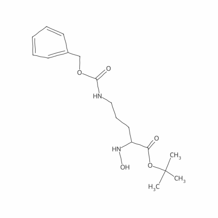 CC(C)(C)OC(=O)C(CCCNC(=O)OCc1ccccc1)NO